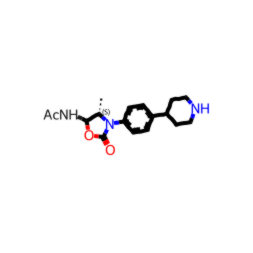 CC(=O)NC1OC(=O)N(c2ccc(C3CCNCC3)cc2)[C@H]1C